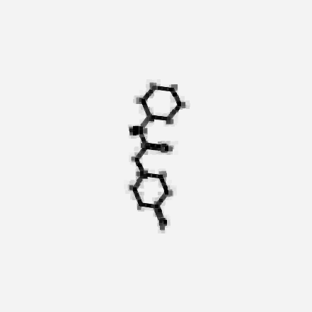 O=C1CCN(CC(=O)NC2CCCCC2)CC1